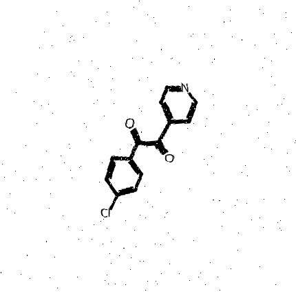 O=C(C(=O)c1ccc(Cl)cc1)c1ccncc1